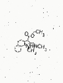 CCOC(=O)c1c(CNC)n(C)c2c1ccc1ccccc12